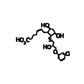 O=C(O)CCC/C=C\C[C@@H]1[C@@H](SC[C@@H](O)COc2cccc(Cl)c2)[C@H](O)C[C@@H]1O